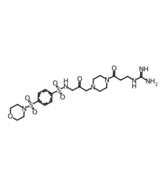 N=C(N)NCCC(=O)N1CCN(CC(=O)CNS(=O)(=O)c2ccc(S(=O)(=O)N3CCOCC3)cc2)CC1